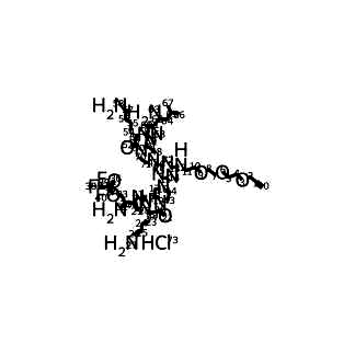 C#CCOCCOCCOCCNc1nc(N2CCN(C(=O)[C@H](CCCCN)n3cc(C(N)COC(=O)C(F)(F)F)nn3)CC2)nc(N2CCN(C(=O)[C@H](CCCCN)n3cc(C(N)CC(C)C)nn3)CC2)n1.Cl